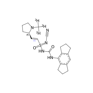 [2H]C([2H])([2H])N1CCC[C@@H]1/C=C/S(=O)(=NC#N)NC(=O)Nc1c2c(cc3c1CCC3)CCC2